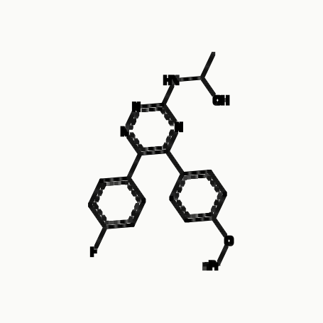 CCCOc1ccc(-c2nc(NC(C)O)nnc2-c2ccc(F)cc2)cc1